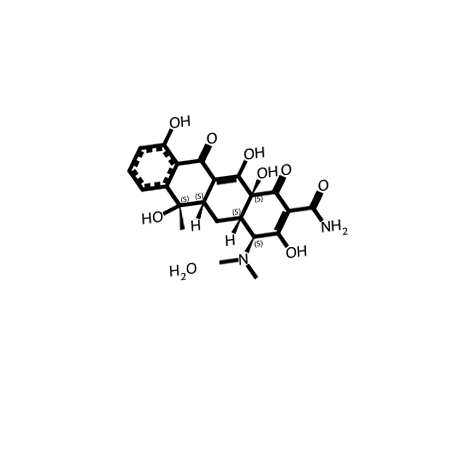 CN(C)[C@@H]1C(O)=C(C(N)=O)C(=O)[C@@]2(O)C(O)=C3C(=O)c4c(O)cccc4[C@@](C)(O)[C@H]3C[C@@H]12.O